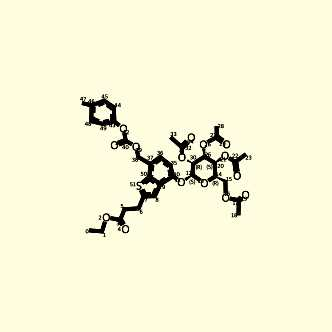 CCOC(=O)CCc1cc2c(O[C@@H]3O[C@H](COC(C)=O)[C@H](OC(C)=O)[C@H](OC(C)=O)[C@H]3OC(C)=O)ccc(COC(=O)Oc3ccc(C)cc3)c2s1